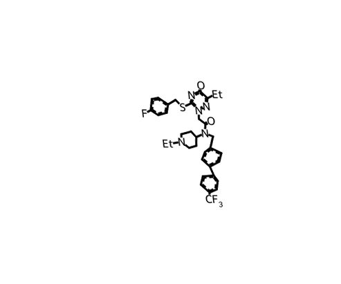 CCc1nn(CC(=O)N(Cc2ccc(-c3ccc(C(F)(F)F)cc3)cc2)C2CCN(CC)CC2)c(SCc2ccc(F)cc2)nc1=O